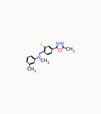 Cc1cccc(N(C)Cc2ccc(-c3nnc(C)o3)cc2F)c1